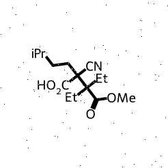 CCC(CC)(C(=O)OC)C(C#N)(CCC(C)C)C(=O)O